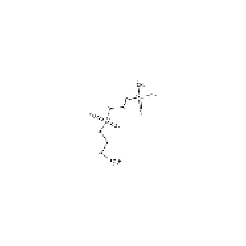 CS(=O)(=O)OCCS(=O)(=O)CCCS(=O)(=O)O